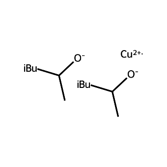 CCC(C)C(C)[O-].CCC(C)C(C)[O-].[Cu+2]